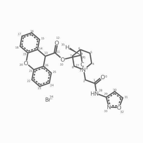 O=C(C[N+]12CCC(CC1)[C@@H](OC(=O)C1c3ccccc3Oc3ccccc31)C2)Nc1ccon1.[Br-]